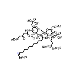 CCCCCC/C=C\CCCCCCCCCC(=O)N[C@H]1[C@H](OC[C@H]2O[C@H](CP(=O)(O)O)[C@H](NC(=O)CC(=O)CCCCCCCCCCC)[C@@H](OCCCCCCCCCC)[C@@H]2O)O[C@H](COC)[C@@H](OP(=O)(O)O)[C@@H]1OCC[C@@H](CCCCCCC)OC